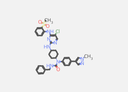 Cn1cc(-c2ccc(N(C(=O)NCc3ccccc3)[C@H]3CC[C@H](Nc4ncc(Cl)c(Nc5ccccc5S(C)(=O)=O)n4)CC3)cc2)cn1